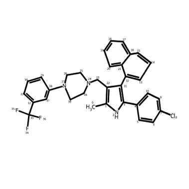 Cc1[nH]c(-c2ccc(Cl)cc2)c(-c2cccc3ccccc23)c1CN1CCN(c2cccc(C(F)(F)F)c2)CC1